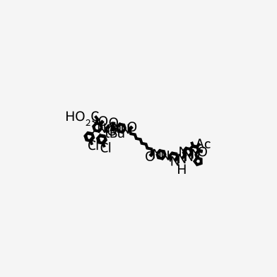 CC(=O)c1c(C)c2cnc(Nc3ccc(N4CCN(C(=O)CCCCCCCCC(=O)N5CCN(S(=O)(=O)CC(N6C(=O)[C@@](C)(CC(=O)O)C[C@H](c7cccc(Cl)c7)[C@H]6c6ccc(Cl)cc6)C(C)(C)C)CC5)CC4)cn3)nc2n(C2CCCC2)c1=O